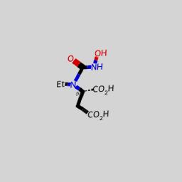 CCN(C(=O)NO)[C@@H](CC(=O)O)C(=O)O